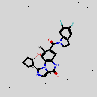 Cc1cc2c(cc1C(=O)N1CCc3cc(F)c(F)cc31)[nH]c(=O)c1cnc([C@H]3CCC[C@@H]3O)n12